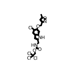 Cc1cc(COc2cc3[nH]c(CNC(=O)OCC(Cl)(Cl)Cl)cc3cc2Cl)no1